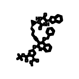 COC(=O)[C@@H]1C[C@@H](Oc2nc3ccccc3c(OCc3ccccc3)c2C#CCCC[C@@H]2C[C@H]2OC(=O)N[C@H](C(=O)O)C2Cc3ccccc3C2)CN1C(=O)OC(C)(C)C